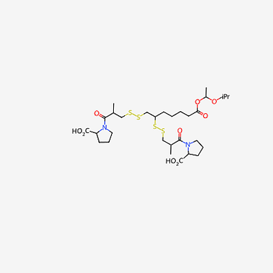 CC(C)OC(C)OC(=O)CCCCC(CSSCC(C)C(=O)N1CCCC1C(=O)O)SSCC(C)C(=O)N1CCCC1C(=O)O